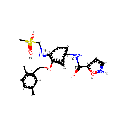 Cc1ccc(C)c(COc2cc(NC(=O)c3ccno3)ccc2NCS(C)(=O)=O)c1